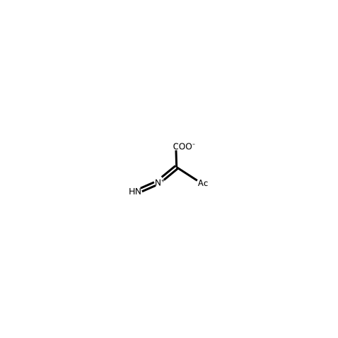 CC(=O)C(=[N+]=N)C(=O)[O-]